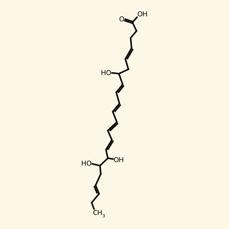 CCC=CCC(O)C(O)C=CC=CC=CC=CC(O)CC=CCCC(=O)O